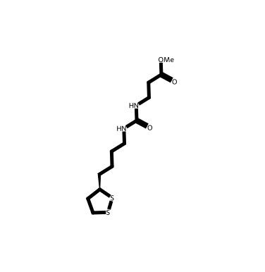 COC(=O)CCNC(=O)NCCCC[C@@H]1CCSS1